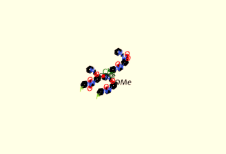 COc1ccc(-n2ccn(-c3cccc(F)c3)c2=O)cc1OCCN1CCCCC1.COc1ccc(N2CC(=O)N(c3cccc(F)c3)C2=O)cc1OCCN1CCCCC1.O=C1N(c2ccc(Cl)c(Cl)c2)CCN1c1ccc2oc(=O)n(CCN3CCCCC3)c2c1